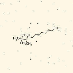 CC=CCCC=CCCC(C)C(C)(C)C(=O)O